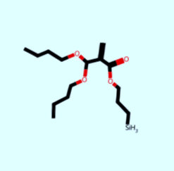 C=C(C(=O)OCCC[SiH3])C(OCCCC)OCCCC